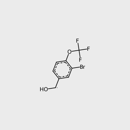 O[CH]c1ccc(OC(F)(F)F)c(Br)c1